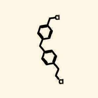 ClCCc1ccc(Cc2ccc(CCl)cc2)cc1